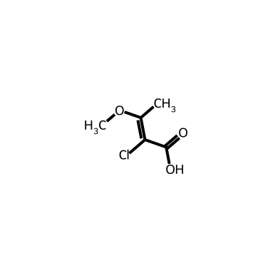 COC(C)=C(Cl)C(=O)O